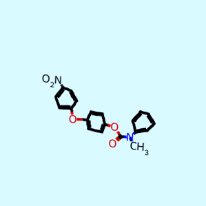 CN(C(=O)Oc1ccc(Oc2ccc([N+](=O)[O-])cc2)cc1)c1ccccc1